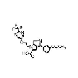 CCOc1cccc(-c2nccc3c2cc(C(=O)O)n3CCOc2cnc(C(F)(F)F)nc2)c1